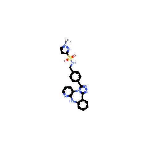 Cn1ccc(S(=O)(=O)NCc2ccc(-c3nnc4n3-c3cccnc3Nc3ccccc3-4)cc2)n1